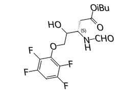 CC(C)COC(=O)C[C@H](NC=O)C(O)COc1c(F)c(F)cc(F)c1F